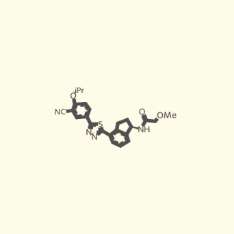 COCC(=O)N[C@@H]1CCc2c(-c3nnc(-c4ccc(OC(C)C)c(C#N)c4)s3)cccc21